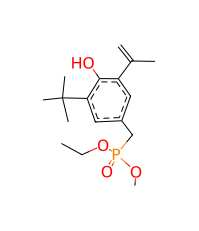 C=C(C)c1cc(CP(=O)(OC)OCC)cc(C(C)(C)C)c1O